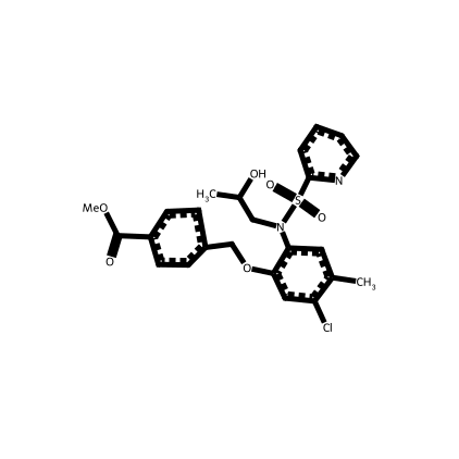 COC(=O)c1ccc(COc2cc(Cl)c(C)cc2N(CC(C)O)S(=O)(=O)c2ccccn2)cc1